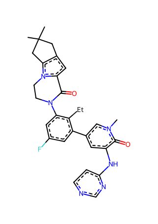 CCc1c(-c2cc(Nc3ccncn3)c(=O)n(C)c2)cc(F)cc1N1CCn2c(cc3c2CC(C)(C)C3)C1=O